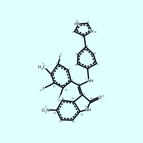 Cc1c(F)cc(C(Nc2ccc(-c3c[nH]cn3)cc2)=C2C(=O)Nc3ccc([N+](=O)[O-])cc32)c(F)c1F